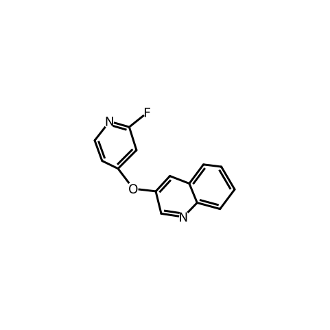 Fc1cc(Oc2cnc3ccccc3c2)ccn1